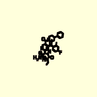 CCNC(=O)c1nn2c(Nc3ccc(F)cc3C)c(C(=O)N3CCC(c4ccccc4)CC3)cnc2c1S(N)(=O)=O